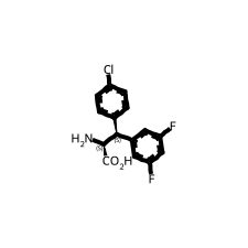 N[C@H](C(=O)O)[C@@H](c1ccc(Cl)cc1)c1cc(F)cc(F)c1